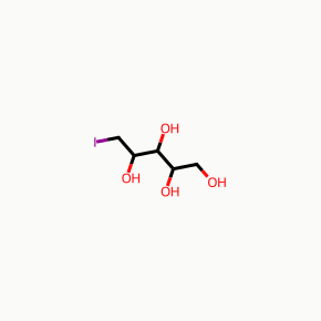 OCC(O)C(O)C(O)CI